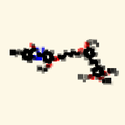 COc1cc(C2NC(=O)c3cc(C)ccc3N2)ccc1OCCCCCCOc1cc(/C=C/c2cc(OC)c(OC)c(OC)c2)ccc1OC